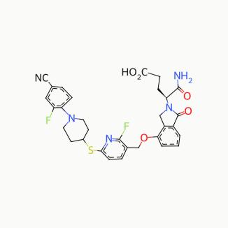 N#Cc1ccc(N2CCC(Sc3ccc(COc4cccc5c4CN([C@@H](CCC(=O)O)C(N)=O)C5=O)c(F)n3)CC2)c(F)c1